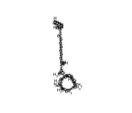 CO[C@H]1C[C@@H]2CCC[C@](O)(CC(=O)N3CCCC[C@H]3C(=O)O[C@H](CC[C@@H]3CC[C@@H](OCCCC/C(=C/NCCOCCOCCOCCOCCOCCOCCC(=O)CCCCCNc4ncnc(N)c4C(=N)c4cnc5[nH]ccc5c4)N=N)[C@H](OC)C3)CC(=O)[C@H](C)/C=C(\C)[C@@H](O)CC(=O)[C@H](C)C[C@H](C)/C=C/C=C/C=C/1C)O2